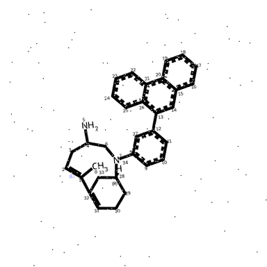 C/C1=C\CC(N)CN(c2cccc(-c3cc4ccccc4c4ccccc34)c2)[C@@H]2CCC=C1C2